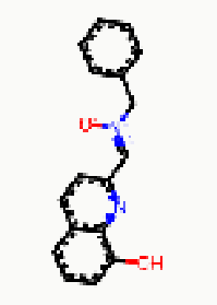 [O-]/[N+](=C\c1ccc2cccc(O)c2n1)Cc1ccccc1